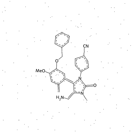 C=c1cc(OC)c(OCc2ccccc2)c/c1=c1/c(=C\N)n(C)c(=O)n1-c1ccc(C#N)cc1